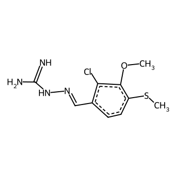 COc1c(SC)ccc(C=NNC(=N)N)c1Cl